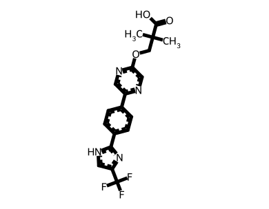 CC(C)(COc1cnc(-c2ccc(-c3nc(C(F)(F)F)c[nH]3)cc2)cn1)C(=O)O